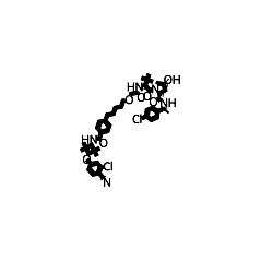 C[C@H](NC(=O)[C@@H]1C[C@@H](O)CN1C(=O)[C@@H](NC(=O)COCCCCCc1ccc(C(=O)N[C@H]2C(C)(C)[C@H](Oc3ccc(C#N)c(Cl)c3)C2(C)C)cc1)C(C)(C)C)c1ccc(Cl)cc1